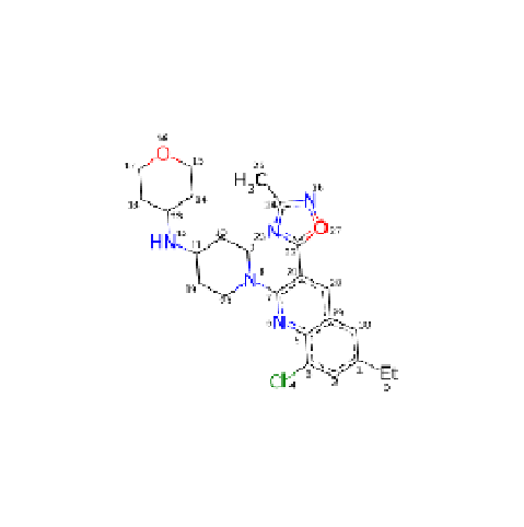 CCc1cc(Cl)c2nc(N3CCC(NC4CCOCC4)CC3)c(-c3nc(C)no3)cc2c1